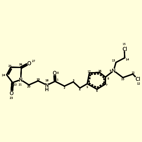 O=C(CCCc1ccc(N(CCCl)CCCl)cc1)NCCN1C(=O)C=CC1=O